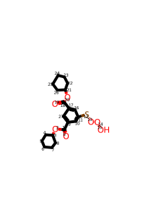 O=C(OC1CCCCC1)c1cc(SOOO)cc(C(=O)OC2CCCCC2)c1